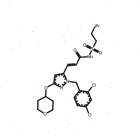 CC(C)CCS(=O)(=O)NC(=O)C=Cc1cc(OC2CCOCC2)nn1Cc1ccc(Cl)cc1Cl